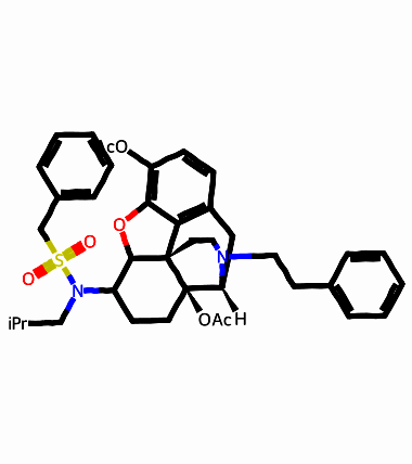 CC(=O)Oc1ccc2c3c1OC1C(N(CC(C)C)S(=O)(=O)Cc4ccccc4)CC[C@@]4(OC(C)=O)[C@@H](C2)N(CCc2ccccc2)CC[C@]314